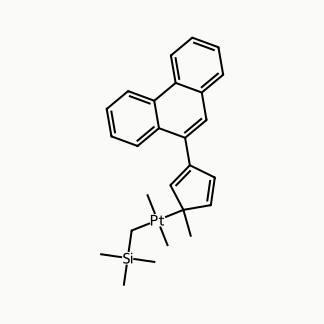 C[C]1([Pt]([CH3])([CH3])[CH2][Si](C)(C)C)C=CC(c2cc3ccccc3c3ccccc23)=C1